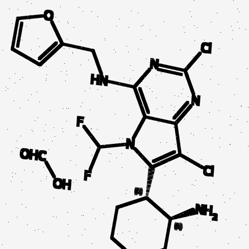 N[C@H]1CCCC[C@@H]1c1c(Cl)c2nc(Cl)nc(NCc3ccco3)c2n1C(F)F.O=CO